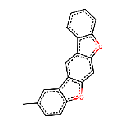 Cc1ccc2oc3cc4oc5ccccc5c4cc3c2c1